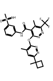 Cc1cc(C2(C)CCC2)nnc1Oc1nnc(C(F)(F)F)c(C)c1C(=O)Nc1cccc(S(C)(=N)=O)c1